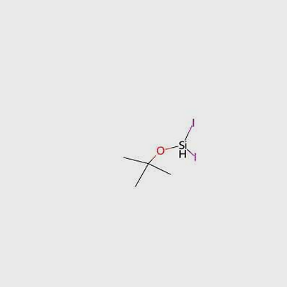 CC(C)(C)O[SiH](I)I